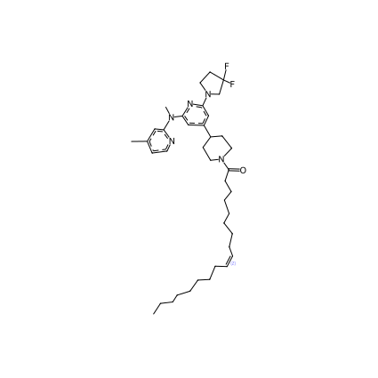 CCCCCCCC/C=C\CCCCCCCC(=O)N1CCC(c2cc(N3CCC(F)(F)C3)nc(N(C)c3cc(C)ccn3)c2)CC1